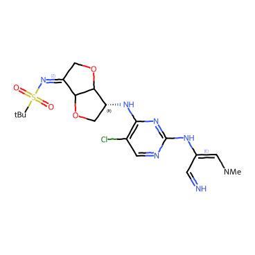 CN/C=C(\C=N)Nc1ncc(Cl)c(N[C@@H]2COC3/C(=N\S(=O)(=O)C(C)(C)C)COC32)n1